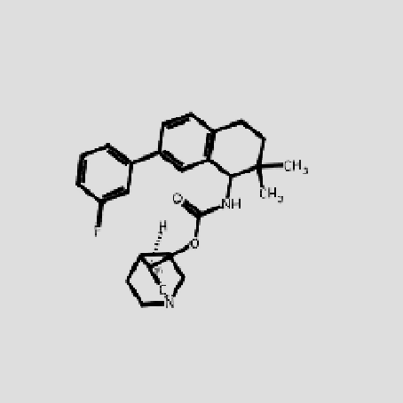 CC1(C)CCc2ccc(-c3cccc(F)c3)cc2C1NC(=O)O[C@H]1CN2CCC1CC2